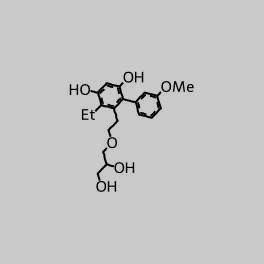 CCc1c(O)cc(O)c(-c2cccc(OC)c2)c1CCOCC(O)CO